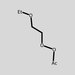 CCOCCOOC(C)=O